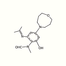 CC(C)=Nc1cc(N2CCCOCCC2)cc(O)c1N(C)C=O